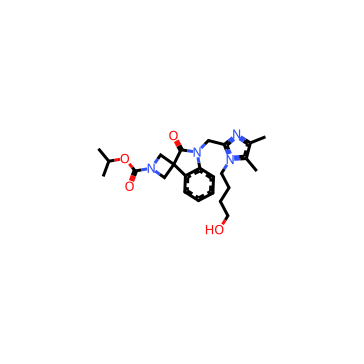 Cc1nc(CN2C(=O)C3(CN(C(=O)OC(C)C)C3)c3ccccc32)n(CCCCO)c1C